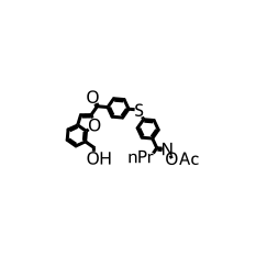 CCCC(=NOC(C)=O)c1ccc(Sc2ccc(C(=O)c3cc4cccc(CO)c4o3)cc2)cc1